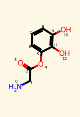 NCC(=O)Oc1cccc(O)c1O